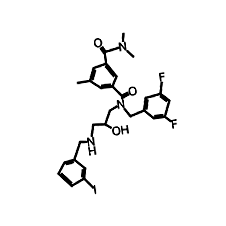 Cc1cc(C(=O)N(C)C)cc(C(=O)N(Cc2cc(F)cc(F)c2)CC(O)CNCc2cccc(I)c2)c1